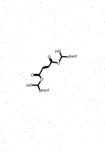 CCCCCC(O)OC(=O)C=CC(=O)OC(O)CCCCC